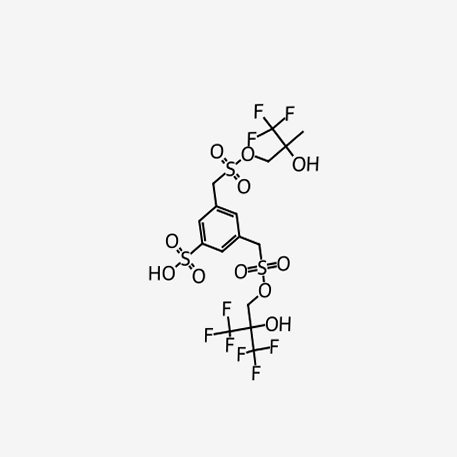 CC(O)(COS(=O)(=O)Cc1cc(CS(=O)(=O)OCC(O)(C(F)(F)F)C(F)(F)F)cc(S(=O)(=O)O)c1)C(F)(F)F